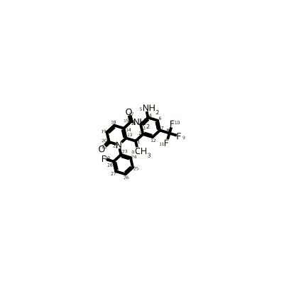 CC(c1cc(N)cc(C(F)(F)F)c1)c1c(C(N)=O)ccc(=O)n1-c1ccccc1F